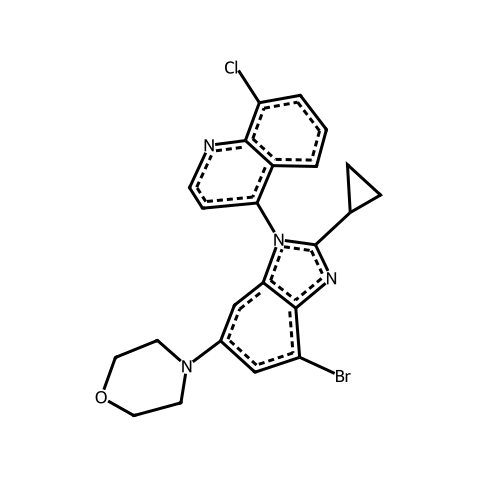 Clc1cccc2c(-n3c(C4CC4)nc4c(Br)cc(N5CCOCC5)cc43)ccnc12